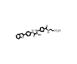 CCOC(=O)CCNC(=O)c1ccc(N[C@H](C(=O)Nc2ccc(-c3cc4ccccc4o3)cc2)C(C)C)cc1